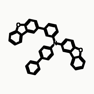 c1ccc(-c2ccc(N(c3cccc(-c4ccc5oc6ccccc6c5c4)c3)c3ccc4oc5ccccc5c4c3)cc2)cc1